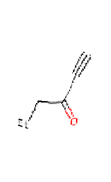 [C]#CC(=O)CCC